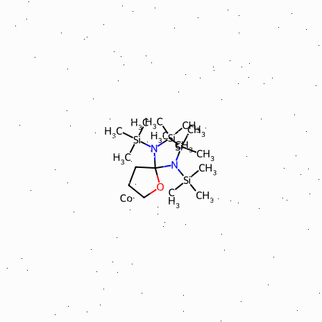 C[Si](C)(C)N(C1(N([Si](C)(C)C)[Si](C)(C)C)CCCO1)[Si](C)(C)C.[Co]